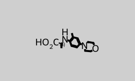 Cc1cc(N2CCOCC2)ccc1N[C@@H](C)C(=O)O